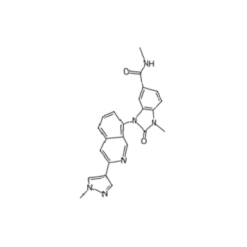 CNC(=O)c1ccc2c(c1)n(-c1cccc3cc(-c4cnn(C)c4)ncc13)c(=O)n2C